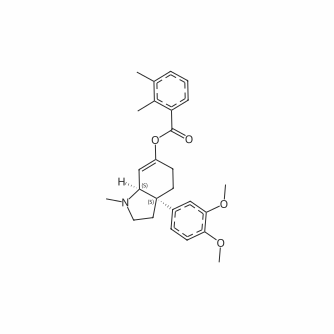 COc1ccc([C@@]23CCC(OC(=O)c4cccc(C)c4C)=C[C@@H]2N(C)CC3)cc1OC